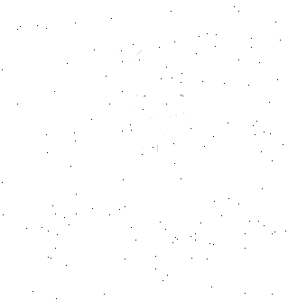 CCCCCCCCCCCCC(OC(=O)CCc1ccccc1)C1=CC(=O)OC1O